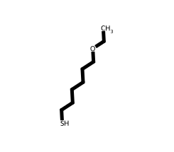 CCOCCCCCCS